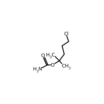 CC(C)(CCCCl)OC(N)=O